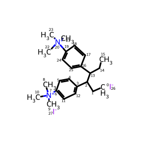 CCC(c1ccc([N+](C)(C)C)cc1)C(CC)c1ccc([N+](C)(C)C)cc1.[I-].[I-]